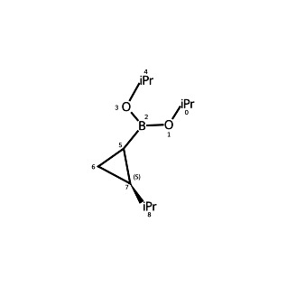 CC(C)OB(OC(C)C)C1C[C@@H]1C(C)C